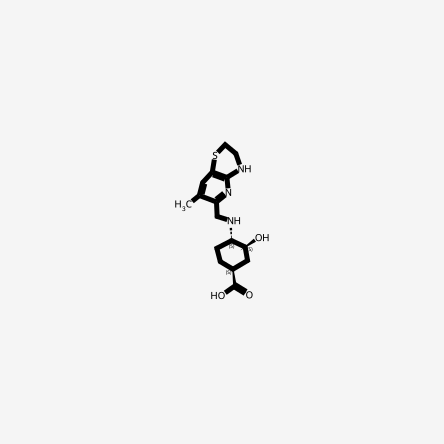 Cc1cc2c(nc1CN[C@H]1CC[C@H](C(=O)O)C[C@@H]1O)NCCS2